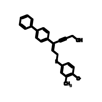 Cc1cc(SCC=C(C#CCO)c2ccc(-c3ccccc3)cc2)ccc1[O]